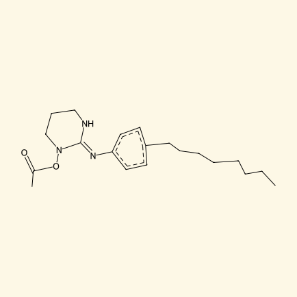 CCCCCCCCc1ccc(N=C2NCCCN2OC(C)=O)cc1